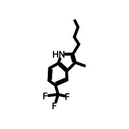 CCCCc1[nH]c2ccc(C(F)(F)F)cc2c1C